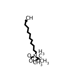 C#CCCCCCCCCCCN(C(=O)O)C(C)(C)C